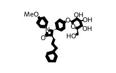 COc1ccc(N2C(=O)[C@H](CCCc3ccccc3)[C@H]2c2ccc(O[C@@H]3O[C@H](CO)[C@@H](O)[C@H](O)[C@H]3O)cc2)cc1